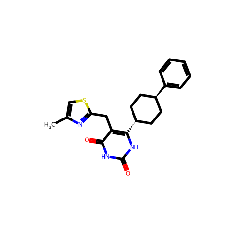 Cc1csc(Cc2c(=O)[nH]c(=O)[nH]c2[C@H]2CC[C@H](c3ccccc3)CC2)n1